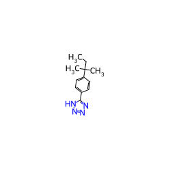 CCC(C)(C)c1ccc(-c2nnn[nH]2)cc1